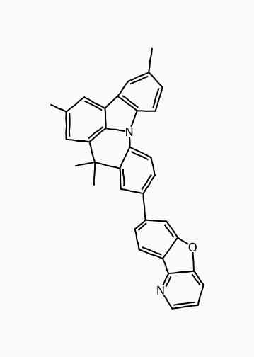 Cc1ccc2c(c1)c1cc(C)cc3c1n2-c1ccc(-c2ccc4c(c2)oc2cccnc24)cc1C3(C)C